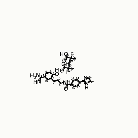 N=C(N)c1ccc(O)c(/C=C/CNC(=O)c2ccc(-c3ncc[nH]3)cc2)c1.O=C(O)C(F)(F)F.O=C(O)C(F)(F)F